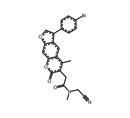 Cc1c(CC(=O)N(C)CC#N)c(=O)oc2cc3occ(-c4ccc(Br)cc4)c3cc12